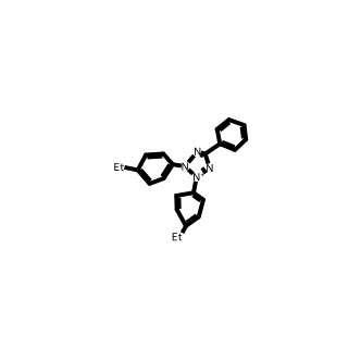 CCc1ccc(-n2nc(-c3ccccc3)n[n+]2-c2ccc(CC)cc2)cc1